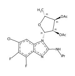 CC(=O)O[C@@H]1[C@H](OC(C)=O)[C@@H](C)O[C@H]1n1c(NC(C)C)nc2c(F)c(F)c(Cl)cc21